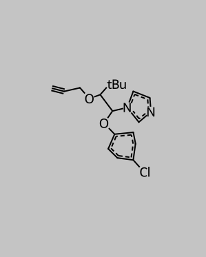 C#CCOC(C(Oc1ccc(Cl)cc1)n1ccnc1)C(C)(C)C